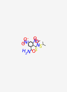 CCN(SC(C)C)C(=S)c1c(C(N)=O)cc([N+](=O)[O-])cc1[N+](=O)[O-]